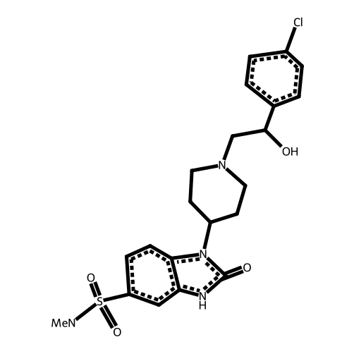 CNS(=O)(=O)c1ccc2c(c1)[nH]c(=O)n2C1CCN(CC(O)c2ccc(Cl)cc2)CC1